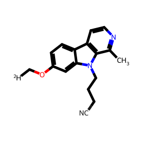 [2H]COc1ccc2c3ccnc(C)c3n(CCCC#N)c2c1